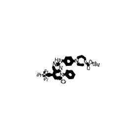 CC(C)[Si](C#Cc1cc(=O)n(-c2ccccc2)c2nc(Nc3ccc(N4CCCN(C(=O)OC(C)(C)C)CC4)cc3)ncc12)(C(C)C)C(C)C